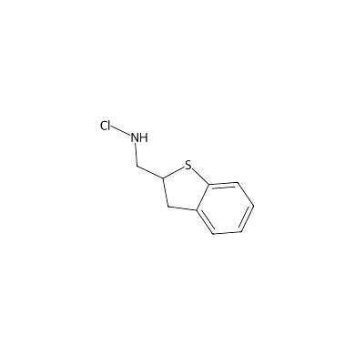 ClNCC1Cc2ccccc2S1